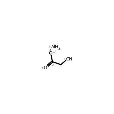 N#CCC(=O)O.[AlH3]